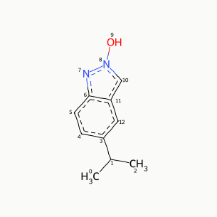 CC(C)c1ccc2nn(O)cc2c1